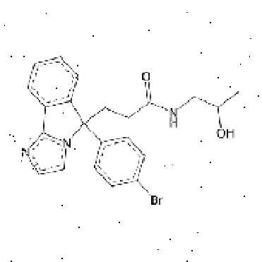 CC(O)CNC(=O)CCC1(c2ccc(Br)cc2)c2ccccc2-c2nccn21